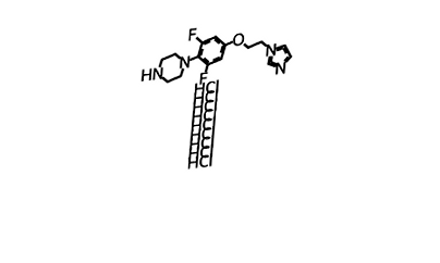 Cl.Cl.Cl.Cl.Cl.Cl.Cl.Cl.Cl.Fc1cc(OCCn2ccnc2)cc(F)c1N1CCNCC1